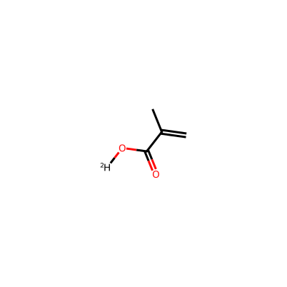 [2H]OC(=O)C(=C)C